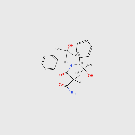 CCCC(O)(CCC)[C@@H](c1ccccc1)N(C(=O)C1(C(N)=O)CC1)[C@H](c1ccccc1)C(O)(CCC)CCC